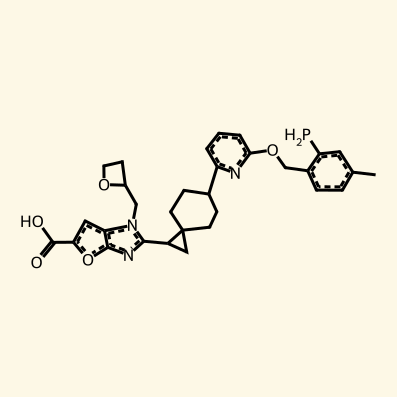 Cc1ccc(COc2cccc(C3CCC4(CC3)CC4c3nc4oc(C(=O)O)cc4n3CC3CCO3)n2)c(P)c1